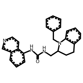 O=C(NCC1CCc2ccccc2N1Cc1ccccc1)Nc1cccc2cnccc12